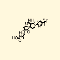 CC(CO[C@@H]1CCN(C2CCN(c3ncc(C(F)(F)F)cn3)CC2C(N)=O)C1=O)NC(=O)O